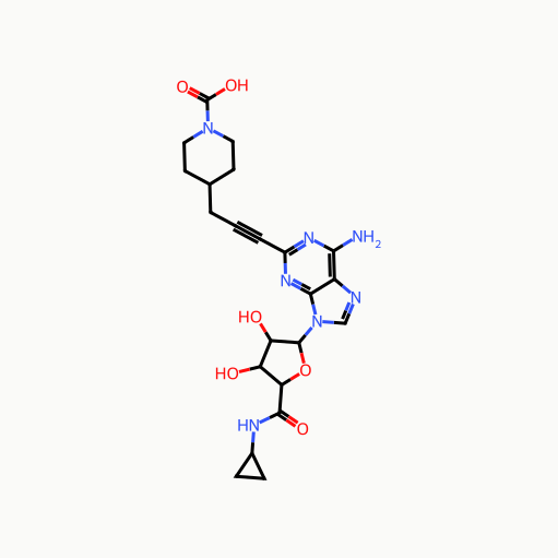 Nc1nc(C#CCC2CCN(C(=O)O)CC2)nc2c1ncn2C1OC(C(=O)NC2CC2)C(O)C1O